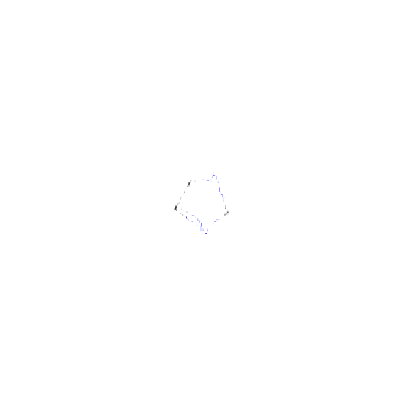 C1=NC[N]C1